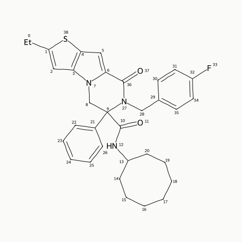 CCc1cc2c(cc3n2CC(C(=O)NC2CCCCCCC2)(c2ccccc2)N(Cc2ccc(F)cc2)C3=O)s1